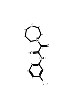 O=C(Nc1cccc(C(F)(F)F)c1)C(=O)N1CCCOCC1